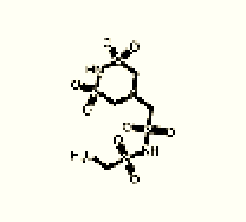 CCS(=O)(=O)NS(=O)(=O)CN1CS(=O)(=O)NS(=O)(=O)C1